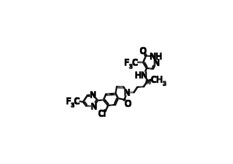 C[C@@H](CCCn1ccc2cc(-c3ncc(C(F)(F)F)cn3)c(Cl)cc2c1=O)Nc1cn[nH]c(=O)c1C(F)(F)F